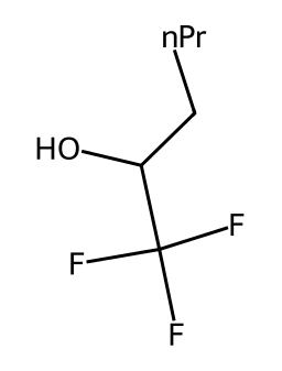 [CH2]CCCC(O)C(F)(F)F